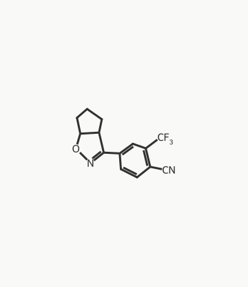 N#Cc1ccc(C2=NOC3CCCC23)cc1C(F)(F)F